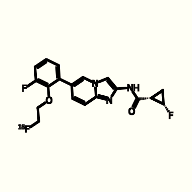 O=C(Nc1cn2cc(-c3cccc(F)c3OCC[18F])ccc2n1)[C@@H]1C[C@@H]1F